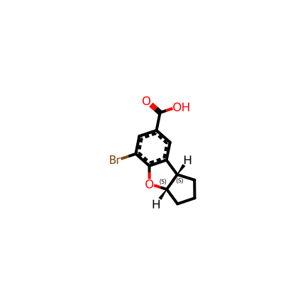 O=C(O)c1cc(Br)c2c(c1)[C@@H]1CCC[C@@H]1O2